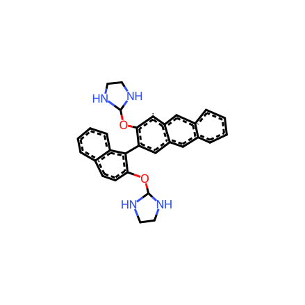 [c]1c(OC2NCCN2)c(-c2c(OC3NCCN3)ccc3ccccc23)cc2cc3ccccc3cc12